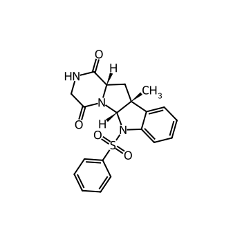 C[C@]12C[C@H]3C(=O)NCC(=O)N3[C@H]1N(S(=O)(=O)c1ccccc1)c1ccccc12